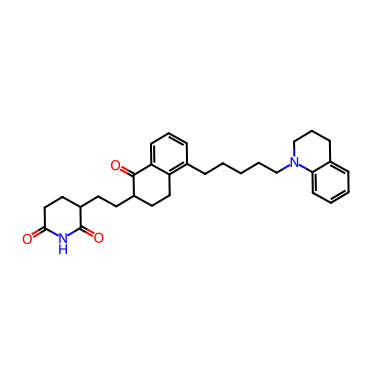 O=C1CCC(CCC2CCc3c(CCCCCN4CCCc5ccccc54)cccc3C2=O)C(=O)N1